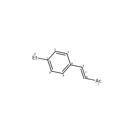 CCc1ccc(/C=C/C(C)=O)cc1